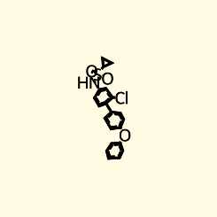 O=S(=O)(Nc1ccc(-c2ccc(Oc3ccccc3)cc2)c(Cl)c1)C1CC1